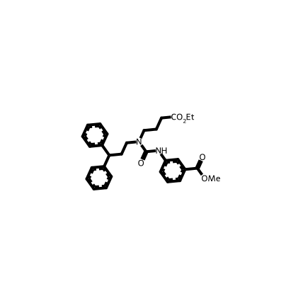 CCOC(=O)CCCN(CCC(c1ccccc1)c1ccccc1)C(=O)Nc1cccc(C(=O)OC)c1